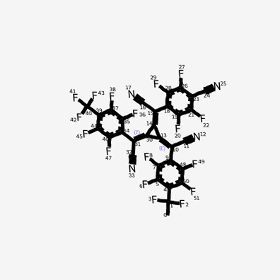 CC(F)(F)c1c(F)c(F)c(/C(C#N)=C2/C(=C(C#N)c3c(F)c(F)c(C#N)c(F)c3F)/C2=C(/C#N)c2c(F)c(F)c(C(F)(F)F)c(F)c2F)c(F)c1F